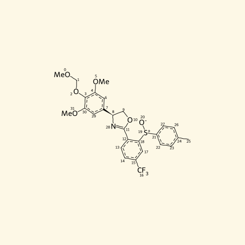 COCOc1c(OC)cc([C@H]2COC(c3ccc(C(F)(F)F)cc3[S+]([O-])c3ccc(C)cc3)=N2)cc1OC